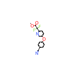 COC(=O)C(F)(F)c1ccc(Oc2ccc(C#N)cc2)cn1